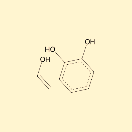 C=CO.Oc1ccccc1O